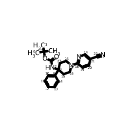 CC(C)(C)OC(=O)NC1(c2ccccc2)CCN(c2ccc(C#N)cn2)CC1